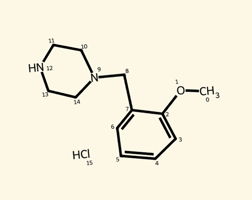 COc1ccccc1CN1CCNCC1.Cl